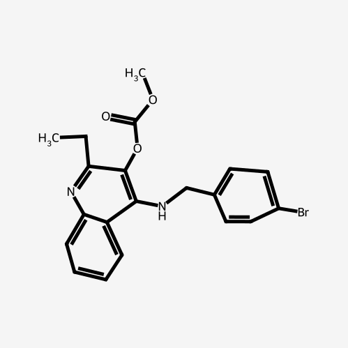 CCc1nc2ccccc2c(NCc2ccc(Br)cc2)c1OC(=O)OC